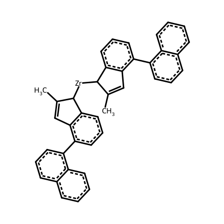 CC1=Cc2c(-c3cccc4ccccc34)cccc2[CH]1[Zr][CH]1C(C)=Cc2c(-c3cccc4ccccc34)cccc21